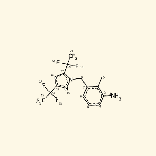 Cc1c(N)cccc1Cn1nc(C(F)(F)C(F)(F)F)cc1C(F)(F)C(F)(F)F